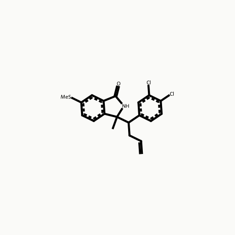 C=CCC(c1ccc(Cl)c(Cl)c1)C1(C)NC(=O)c2cc(SC)ccc21